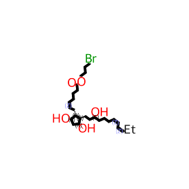 CC/C=C\C=C/CCC[C@H](O)CC[C@@H]1[C@@H](C/C=C\CCCC(=O)OCCCCBr)[C@@H](O)C[C@H]1O